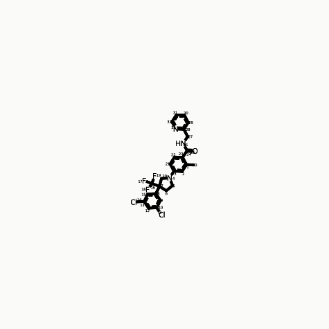 Cc1cc(N2CCC(c3cc(Cl)cc(Cl)c3)(C(F)(F)F)C2)ccc1C(=O)NCc1ccccn1